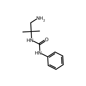 CC(C)(CN)NC(=O)Nc1ccccc1